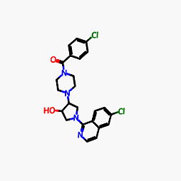 O=C(c1ccc(Cl)cc1)N1CCN(C2CN(c3nccc4cc(Cl)ccc34)CC2O)CC1